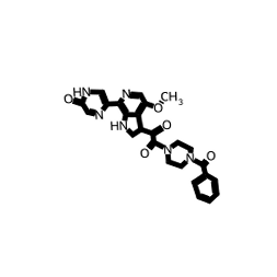 COc1cnc(-c2c[nH]c(=O)cn2)c2c1C(C(=O)C(=O)N1CCN(C(=O)c3ccccc3)CC1)CN2